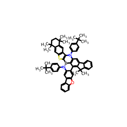 CC(C)(C)c1ccc(N2B3c4sc5cc6c(cc5c4N(c4ccc(C(C)(C)C)cc4)c4cc5c(c(c43)-c3cc4oc7ccccc7c4cc32)C(C)(C)c2ccccc2-5)C(C)(C)CCC6(C)C)cc1